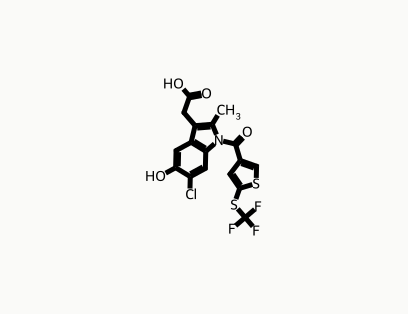 Cc1c(CC(=O)O)c2cc(O)c(Cl)cc2n1C(=O)c1csc(SC(F)(F)F)c1